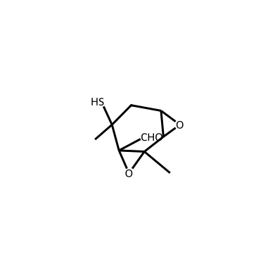 CC1(S)CC2OC2C2(C)OC12C=O